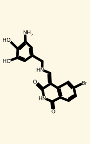 Nc1cc(CNC=C2C(=O)NC(=O)c3ccc(Br)cc32)cc(O)c1O